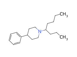 CCCCC(CCC)N1CCC(c2ccccc2)CC1